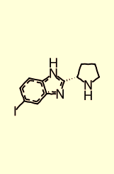 Ic1ccc2[nH]c([C@@H]3CCCN3)nc2c1